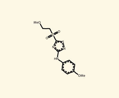 COCCS(=O)(=O)c1nc(Nc2ccc(OC)cc2)ns1